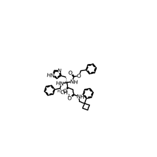 C[C@@H](N[C@@](Cc1c[nH]cn1)(NC(=O)OCc1ccccc1)C(=O)CC(=O)NCC1(c2ccccc2)CCC1)c1ccccc1